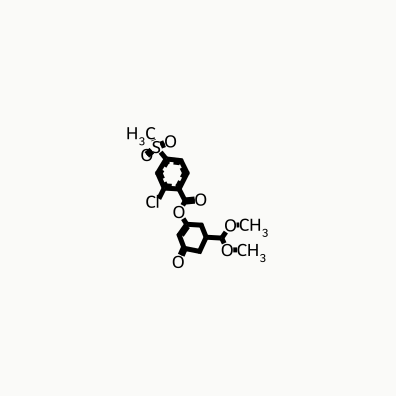 COC(OC)C1CC(=O)C=C(OC(=O)c2ccc(S(C)(=O)=O)cc2Cl)C1